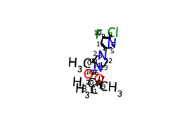 C[C@H]1CN(c2cnc(Cl)c(F)c2)CCN1C(=O)OC(C)(C)C